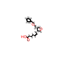 O=C(O)CCC/C=C\C[C@H]1COC[C@H]1CCOCc1ccccc1